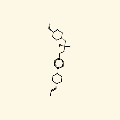 C=C[C@H]1CC[C@H](CC(F)(F)OCc2ccc([C@H]3CC[C@H](C=CC)CC3)cc2)CC1